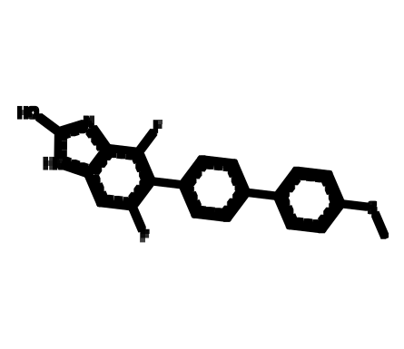 CSc1ccc(-c2ccc(-c3c(F)cc4[nH]c(O)nc4c3F)cc2)cc1